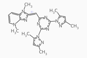 Cc1cc(C)n(-c2nc(/C=c3\nc4c(n3C)=CC=CN4C)nc(-n3nc(C)cc3C)n2)n1